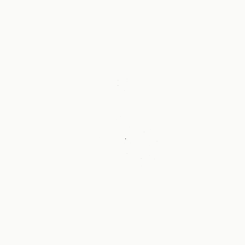 Cc1ccc(-c2nc3c4ccccc4c4ccccc4c3n2-c2ccc(NC(=O)c3cc(C)sc3C)cc2)cc1